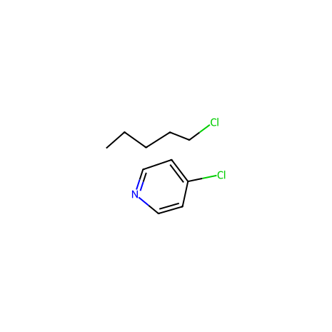 CCCCCCl.Clc1ccncc1